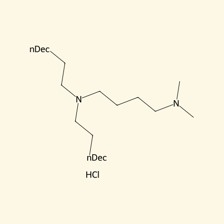 CCCCCCCCCCCCN(CCCCCCCCCCCC)CCCCN(C)C.Cl